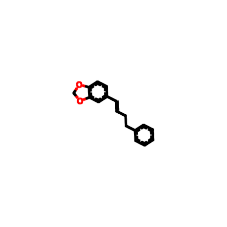 C(=Cc1ccc2c(c1)OCO2)CCc1ccccc1